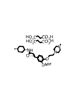 COc1cc(/C=C/C(=O)N[C@H]2CC[C@H](C)CC2)ccc1OCCN1CCN(C)CC1.O=C(O)CCC(=O)O.O=C(O)CCC(=O)O